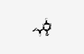 COC(=O)c1nc(Cl)ncc1Br